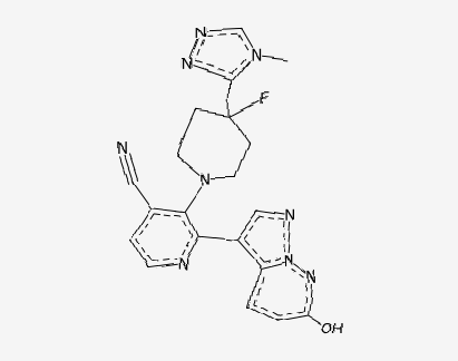 Cn1cnnc1C1(F)CCN(c2c(C#N)ccnc2-c2cnn3nc(O)ccc23)CC1